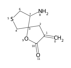 C=C1CC2(CSCC2N)OC1=O